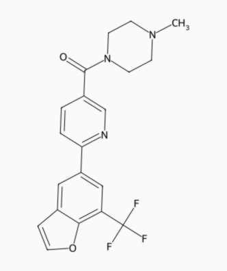 CN1CCN(C(=O)c2ccc(-c3cc(C(F)(F)F)c4occc4c3)nc2)CC1